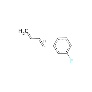 C=C/C=C/c1cccc(F)c1